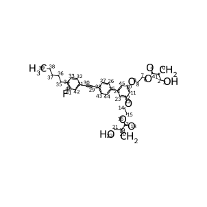 C=C(CO)C(=O)OCCOc1cc(OCCOC(=O)C(=C)CO)cc(-c2ccc(C#Cc3ccc(CCCCC)c(F)c3)cc2)c1